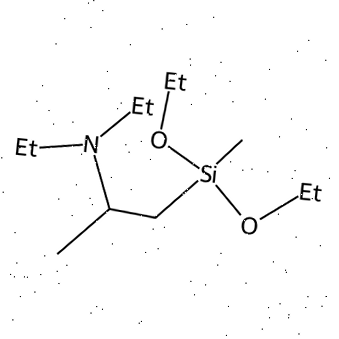 CCO[Si](C)(CC(C)N(CC)CC)OCC